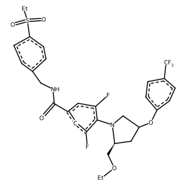 CCOC[C@@H]1CC(Oc2ccc(C(F)(F)F)cc2)CN1c1c(F)cc(C(=O)NCc2ccc(S(=O)(=O)CC)cc2)cc1F